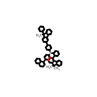 CC1(C)c2ccccc2-c2c(-c3ccccc3N(c3ccc(-c4ccc5c(c4)-c4ccccc4C5(C)c4ccccc4)cc3)c3ccc(-c4cccc5ccccc45)cc3)cccc21